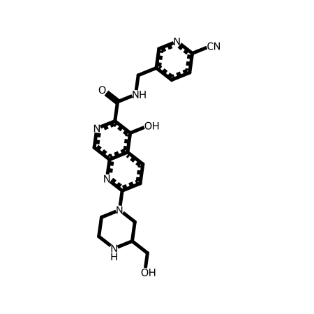 N#Cc1ccc(CNC(=O)c2ncc3nc(N4CCNC(CO)C4)ccc3c2O)cn1